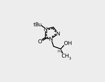 C[C@H](O)Cn1ncn(C(C)(C)C)c1=O